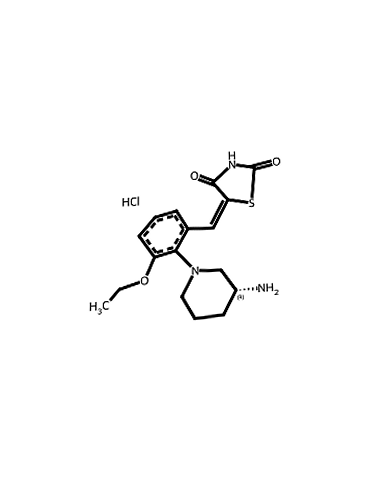 CCOc1cccc(C=C2SC(=O)NC2=O)c1N1CCC[C@@H](N)C1.Cl